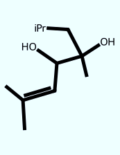 CC(C)=CC(O)C(C)(O)CC(C)C